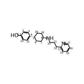 Oc1ccc([C@H]2CC[C@H](NCCCc3ccccn3)CC2)cc1